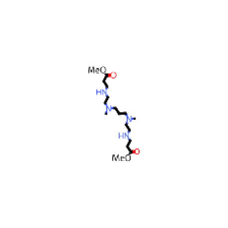 COC(=O)CCNCCN(C)CCCN(C)CCNCCC(=O)OC